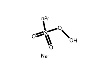 CCCS(=O)(=O)OO.[Na]